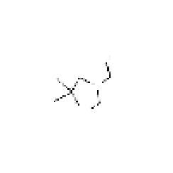 BCN(CB)CC(C)(C)C